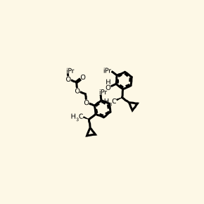 CC(C)OC(=O)OCOc1c(C(C)C)cccc1[C@H](C)C1CC1.CC(C)c1cccc([C@H](C)C2CC2)c1O